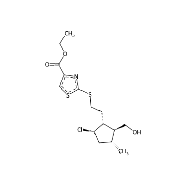 CCOC(=O)c1csc(SCC[C@@H]2[C@@H](CO)[C@H](C)C[C@H]2Cl)n1